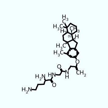 C=C(CNC(=O)CNC(=O)C(N)CCCN)Oc1cc(C)c2c(c1)C[C@@H]1[C@@]3(C)CCCC(C)(C)[C@@H]3CC[C@@]21C